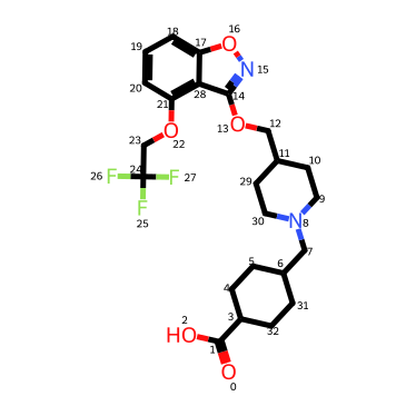 O=C(O)C1CCC(CN2CCC(COc3noc4cccc(OCC(F)(F)F)c34)CC2)CC1